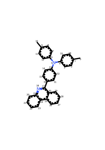 Cc1ccc(N(c2ccc(C)cc2)c2ccc(-c3nc4ccccc4c4ccccc34)cc2)cc1